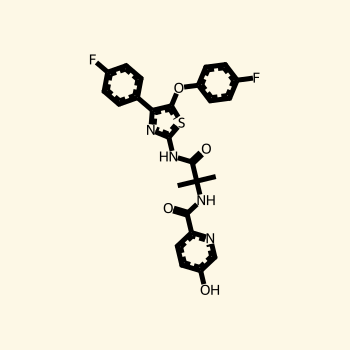 CC(C)(NC(=O)c1ccc(O)cn1)C(=O)Nc1nc(-c2ccc(F)cc2)c(Oc2ccc(F)cc2)s1